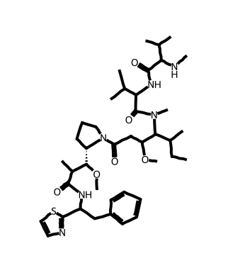 CCC(C)C(C(CC(=O)N1CCC[C@H]1C(OC)C(C)C(=O)NC(Cc1ccccc1)c1nccs1)OC)N(C)C(=O)C(NC(=O)C(NC)C(C)C)C(C)C